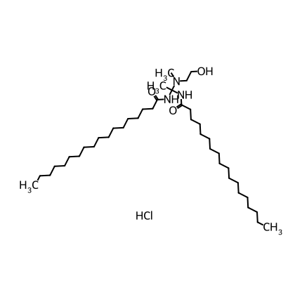 CCCCCCCCCCCCCCCCCC(=O)NC(C)(NC(=O)CCCCCCCCCCCCCCCCC)N(C)CCO.Cl